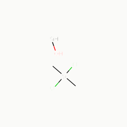 C[Si](C)(Cl)Cl.O[SiH3]